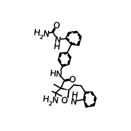 CC(C)(N)C(C)(C(=O)Nc1ccc(-c2ccccc2NC(N)=O)cc1)[C@H]1CCc2ccccc2NC1=O